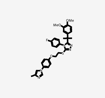 COc1ccc(C(C)(C)c2nnc(SCCOc3ccc(-n4cnc(C)c4)cc3)n2-c2ccc(F)cc2)cc1OC